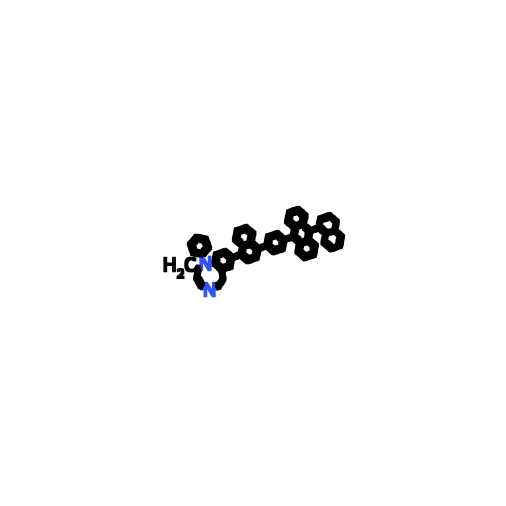 C=C1/C=C\N=C/Cc2cc(-c3ccc(-c4ccc(-c5c6ccccc6c(C6=C7C=CC=CC7CC=C6)c6ccccc56)cc4)c4ccccc34)ccc2N1c1ccccc1